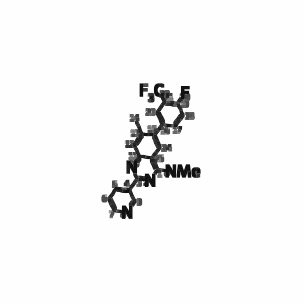 CNc1nc(-c2cccnc2)nc2cc(C)c(-c3ccc(F)c(C(F)(F)F)c3)cc12